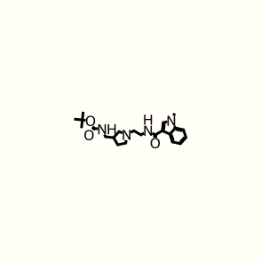 Cn1cc(C(=O)NCCN2CCC(CNC(=O)OC(C)(C)C)C2)c2ccccc21